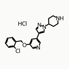 Cl.Clc1ccccc1COc1cncc(-c2cnn(C3CCNCC3)c2)c1